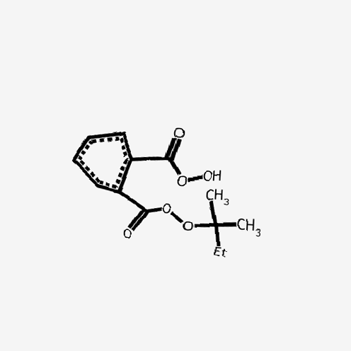 CCC(C)(C)OOC(=O)c1ccccc1C(=O)OO